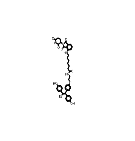 CCC(=C(c1ccc(O)cc1)c1ccc(OCCNC(=O)CCCCCCNc2cccc3c2C(=O)N(C2CCC(=O)NC2=O)C3=O)cc1)c1ccc(O)cc1